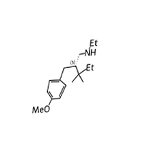 CCNC[C@@H](Cc1ccc(OC)cc1)C(C)(C)CC